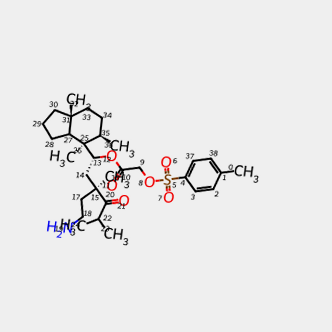 Cc1ccc(S(=O)(=O)OCC(=O)O[C@H](C[C@](C)(CCN)C(=O)C(C)C)[C@@]2(C)C3CCC[C@]3(C)CC[C@H]2C)cc1